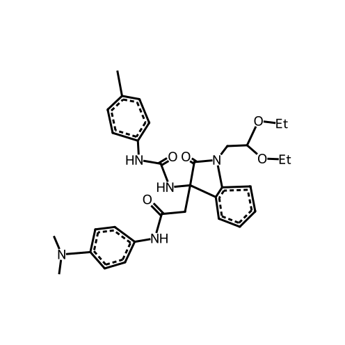 CCOC(CN1C(=O)C(CC(=O)Nc2ccc(N(C)C)cc2)(NC(=O)Nc2ccc(C)cc2)c2ccccc21)OCC